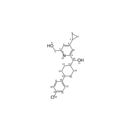 OCc1cc(C2CC2)cc(C(O)C2CCC(c3ccc(Cl)cc3)CC2)n1